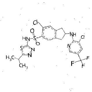 CC(C)c1nnc(NS(=O)(=O)c2cc3c(cc2Cl)CC(Nc2ncc(C(F)(F)F)cc2Cl)C3)s1